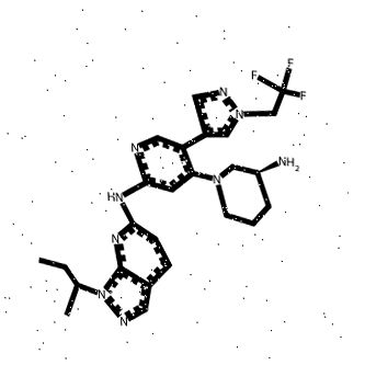 CCC(C)n1ncc2ccc(Nc3cc(N4CCC[C@H](N)C4)c(-c4cnn(CC(F)(F)F)c4)cn3)nc21